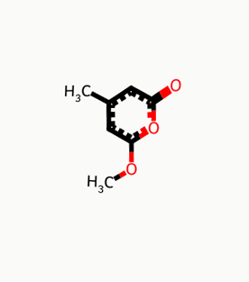 COc1cc(C)cc(=O)o1